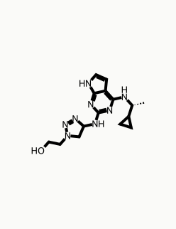 C[C@@H](Nc1nc(NC2CN(CCO)N=N2)nc2[nH]ccc12)C1CC1